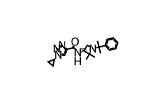 CC(C)(c1ccccc1)N1C[C@@H](NC(=O)c2cn(C3CC3)nn2)C1(C)C